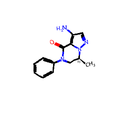 C[C@H]1CN(c2ccccc2)C(=O)c2c(N)cnn21